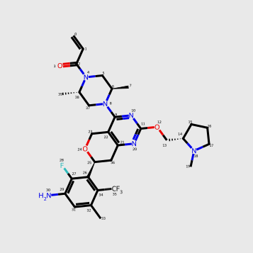 C=CC(=O)N1C[C@@H](C)N(c2nc(OC[C@@H]3CCCN3C)nc3c2CO[C@H](c2c(F)c(N)cc(C)c2C(F)(F)F)C3)C[C@@H]1C